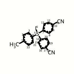 Cc1ccc(S(I)(c2ccc(C#N)cc2)c2ccc(C#N)cc2)cc1